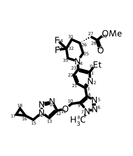 CCc1nc(-c2nnn(C)c2COc2cn(CC3CC3)nn2)ccc1N1C[C@@H](CC(=O)OC)CC(F)(F)C1